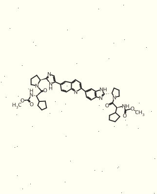 COC(=O)N[C@H](C(=O)N1CCC[C@H]1c1ncc(-c2ccc3nc(-c4ccc5nc([C@@H]6CCCN6C(=O)[C@@H](NC(=O)OC)C6CCCC6)[nH]c5c4)ccc3c2)[nH]1)C1CCCC1